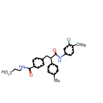 COc1ccc(NC(=O)C(Cc2ccc(C(=O)NCCS(=O)(=O)O)cc2)c2ccc(C(C)(C)C)cc2)cc1Cl